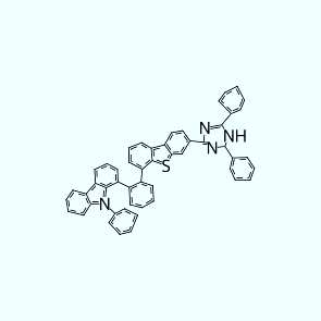 c1ccc(C2=NC(c3ccc4c(c3)sc3c(-c5ccccc5-c5cccc6c7ccccc7n(-c7ccccc7)c56)cccc34)=NC(c3ccccc3)N2)cc1